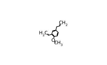 C=CCc1ccc(OC)c(C=C)c1